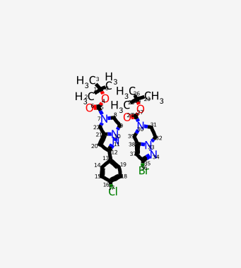 CC(C)(C)OC(=O)N1CCn2nc(-c3ccc(Cl)cc3)cc2C1.CC(C)(C)OC(=O)N1CCn2nc(Br)cc2C1